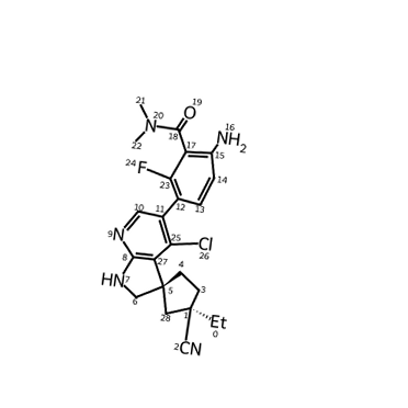 CC[C@@]1(C#N)CC[C@]2(CNc3ncc(-c4ccc(N)c(C(=O)N(C)C)c4F)c(Cl)c32)C1